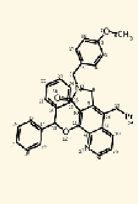 COc1ccc(CN2Cc3c(c(OC(c4ccccc4)c4ccccc4)c4ncccc4c3CBr)C2=O)cc1